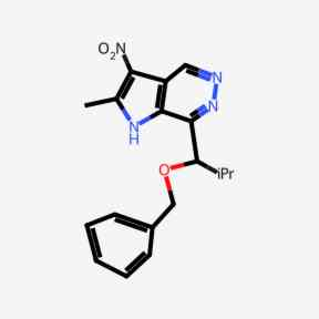 Cc1[nH]c2c(C(OCc3ccccc3)C(C)C)nncc2c1[N+](=O)[O-]